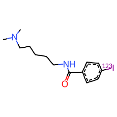 CN(C)CCCCCNC(=O)c1ccc([123I])cc1